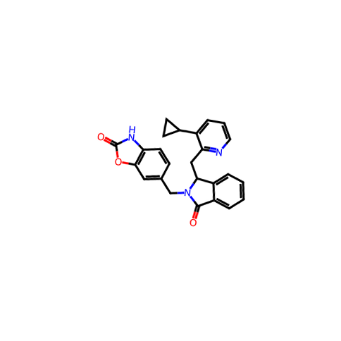 O=C1c2ccccc2C(Cc2ncccc2C2CC2)N1Cc1ccc2[nH]c(=O)oc2c1